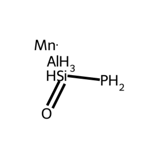 O=[SiH]P.[AlH3].[Mn]